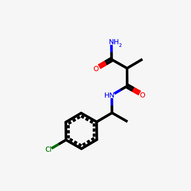 CC(C(N)=O)C(=O)NC(C)c1ccc(Cl)cc1